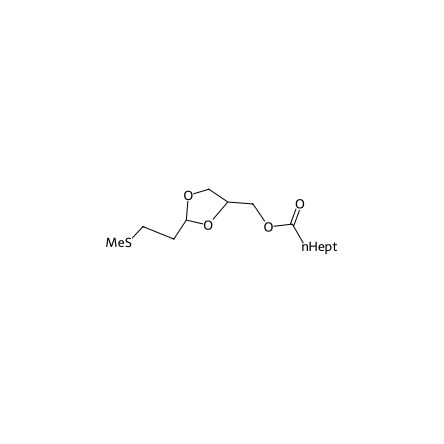 CCCCCCCC(=O)OCC1COC(CCSC)O1